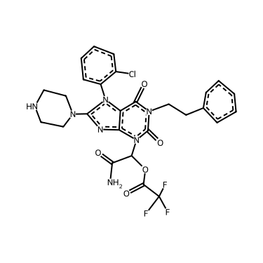 NC(=O)C(OC(=O)C(F)(F)F)n1c(=O)n(CCc2ccccc2)c(=O)c2c1nc(N1CCNCC1)n2-c1ccccc1Cl